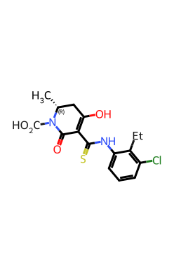 CCc1c(Cl)cccc1NC(=S)C1=C(O)C[C@@H](C)N(C(=O)O)C1=O